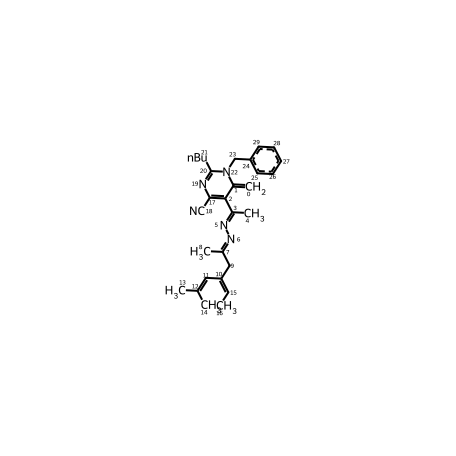 C=C1C(/C(C)=N/N=C(\C)C/C(C=C(C)C)=C/C)=C(C#N)N=C(CCCC)N1Cc1ccccc1